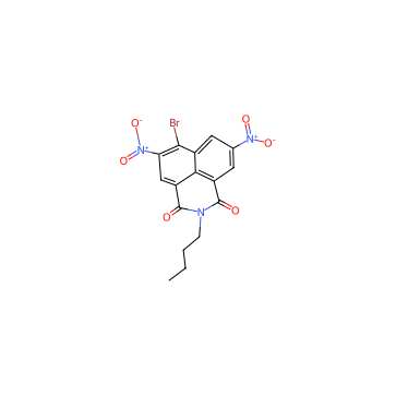 CCCCN1C(=O)c2cc([N+](=O)[O-])cc3c(Br)c([N+](=O)[O-])cc(c23)C1=O